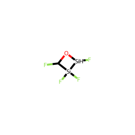 FC1O[SiH](F)[Si]1(F)F